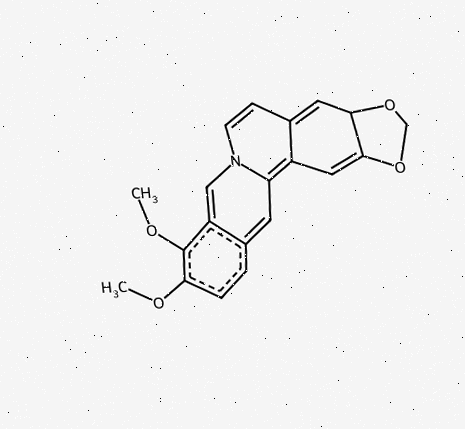 COc1ccc2c(c1OC)=CN1C=CC3=CC4OCOC4=CC3=C1C=2